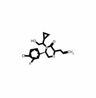 C=CCC1OC[C@@H](c2ccc(Cl)c(F)c2)N(C(CO)C2CC2)C1=O